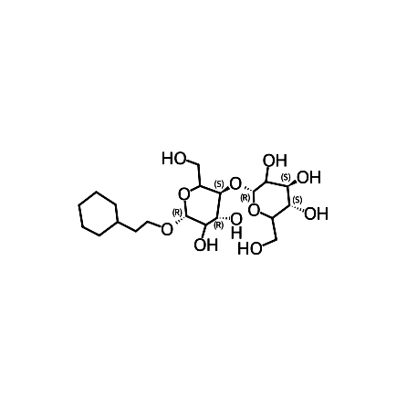 OCC1O[C@H](O[C@@H]2C(CO)O[C@@H](OCCC3CCCCC3)C(O)[C@H]2O)C(O)[C@@H](O)[C@@H]1O